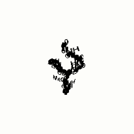 COc1cc2c(cc1OCc1cc(COc3cc4c(cc3OC)C(=O)N3c5ccc(C)cc5C[C@H]3CN4)cc(NC(=O)[C@H](C)NC(=O)[C@H](C)NC(=O)CCCCC(=O)NCCN3C(=O)C=CC3=O)c1)N=C[C@@H]1Cc3ccccc3N1C2=O